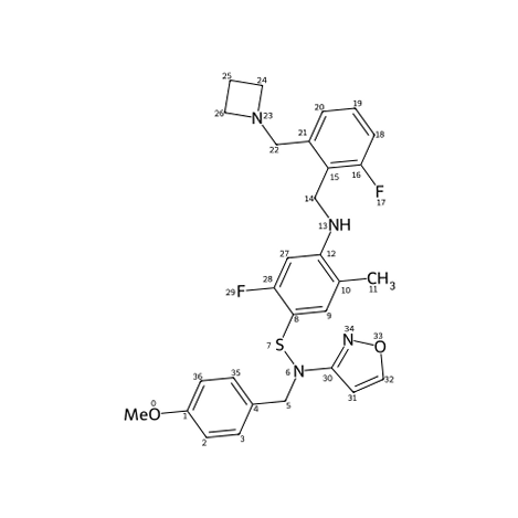 COc1ccc(CN(Sc2cc(C)c(NCc3c(F)cccc3CN3CCC3)cc2F)c2ccon2)cc1